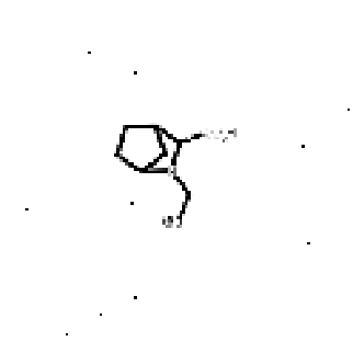 CC(C)(C)CN1C2CCC(C2)C1C(=O)O